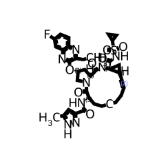 CCc1nc2ccc(F)cc2nc1O[C@@H]1C[C@H]2C(=O)N[C@]3(C(=O)NS(=O)(=O)C4CC4)C[C@H]3/C=C\CCCCC[C@H](NC(=O)c3cc(C)[nH]n3)C(=O)N2C1